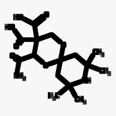 CC1(C)CC2(CC(C)(C)N1)OCC(C(=O)O)(C(=O)O)C(C(N)=O)O2